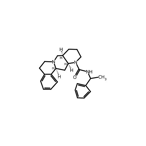 CC(NC(=O)N1CCC[C@@H]2CN3CCc4ccccc4[C@@H]3C[C@@H]21)c1ccccc1